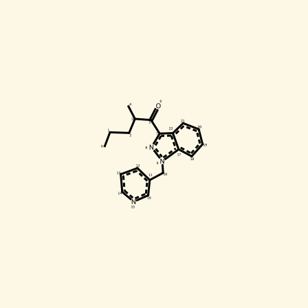 CCCC(C)C(=O)c1nn(Cc2cccnc2)c2ccccc12